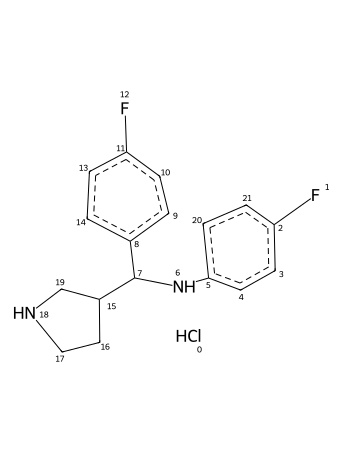 Cl.Fc1ccc(NC(c2ccc(F)cc2)C2CCNC2)cc1